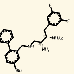 CCC(C)c1ccc(-c2ccccc2)c(CNC[C@@H](N)[C@H](Cc2cc(F)cc(F)c2)NC(C)=O)c1